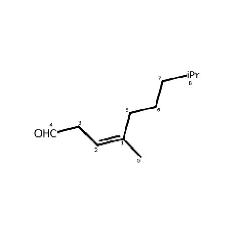 CC(=CCC=O)CCCC(C)C